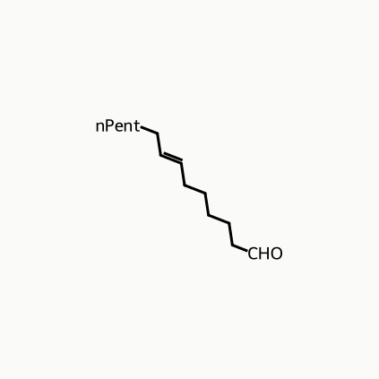 CCCCCCC=CCCCCCC=O